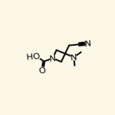 CN(C)C1(CC#N)CN(C(=O)O)C1